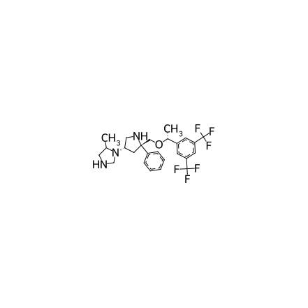 CC1CNCN1[C@@H]1CN[C@](CO[C@H](C)c2cc(C(F)(F)F)cc(C(F)(F)F)c2)(c2ccccc2)C1